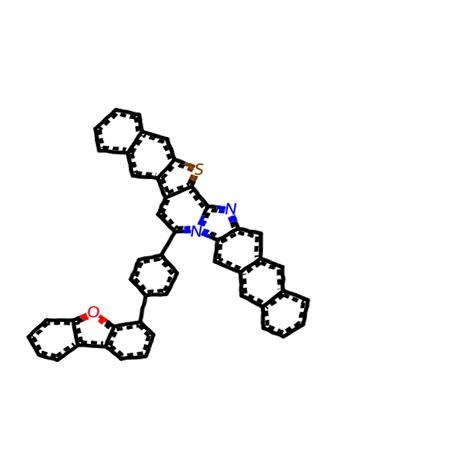 c1ccc2cc3cc4c(cc3cc2c1)nc1c2sc3cc5ccccc5cc3c2cc(-c2ccc(-c3cccc5c3oc3ccccc35)cc2)n41